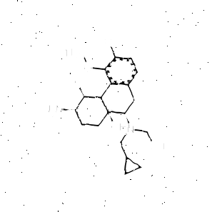 CCN(CC1CC1)[C@@H]1Cc2ccc(O)c(OC)c2C2C(C)[C@H](N)CC[C@]21O